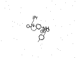 Cc1ccc(CS(=O)(=O)Nc2ccc3c(c2)CCC(=O)N3CCC(C)C)cc1